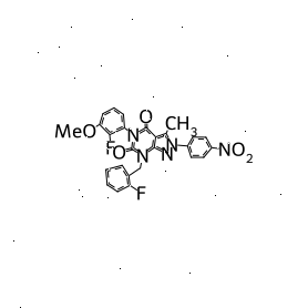 COc1cccc(-n2c(=O)c3c(C)n(-c4ccc([N+](=O)[O-])cc4)nc3n(Cc3ccccc3F)c2=O)c1F